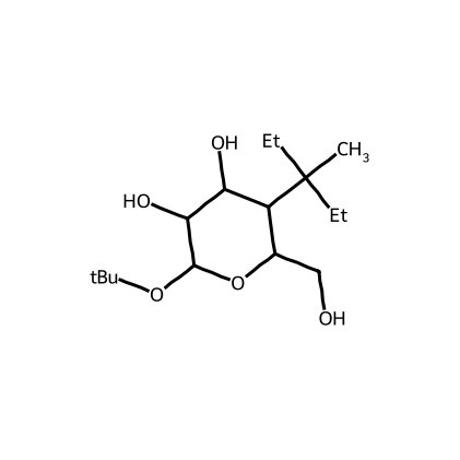 CCC(C)(CC)C1C(CO)OC(OC(C)(C)C)C(O)C1O